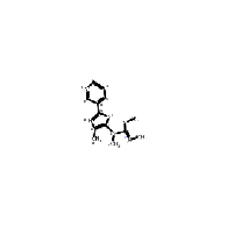 CCS/C(=N\C)N(C)c1sc(-c2cccnc2)nc1C